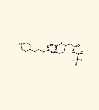 O=C(CC1CCc2cc(OCCC3CCNCC3)ccc2O1)OC(=O)C(F)(F)F